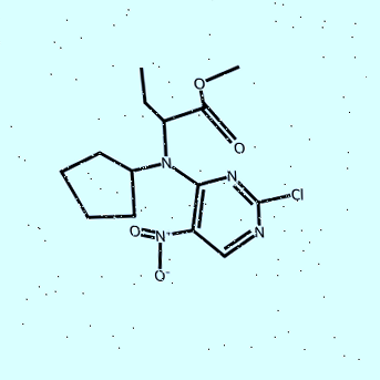 CCC(C(=O)OC)N(c1nc(Cl)ncc1[N+](=O)[O-])C1CCCC1